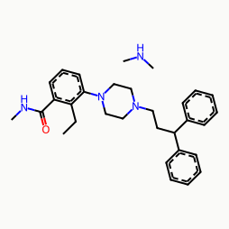 CCc1c(C(=O)NC)cccc1N1CCN(CCC(c2ccccc2)c2ccccc2)CC1.CNC